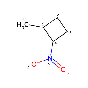 CC1CCC1[N+](=O)[O-]